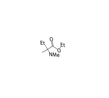 CCOC(=O)C(C)(CC)NC